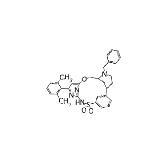 Cc1cccc(C)c1-c1cc2nc(n1)NS(=O)(=O)c1cccc(c1)C1CCN(Cc3ccccc3)C(CO2)C1